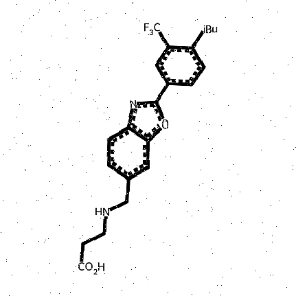 CCC(C)c1ccc(-c2nc3ccc(CNCCC(=O)O)cc3o2)cc1C(F)(F)F